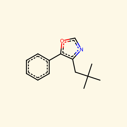 CC(C)(C)Cc1ncoc1-c1ccccc1